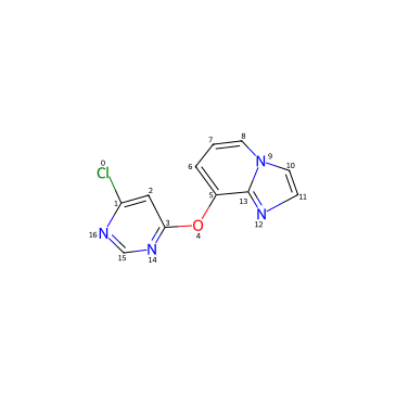 Clc1cc(Oc2cccn3ccnc23)ncn1